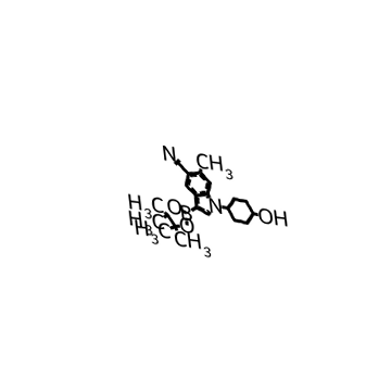 Cc1cc2c(cc1C#N)c(B1OC(C)(C)C(C)(C)O1)cn2C1CCC(O)CC1